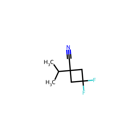 CC(C)C1(C#N)CC(F)(F)C1